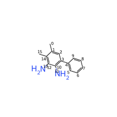 Cc1cc(-c2ccccc2)c(N)c(N)c1C